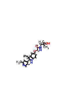 Cc1cc(-c2[nH]c3ccc(OCC(=O)NCC(C)(C)O)cc3c2C(C)C)ccn1